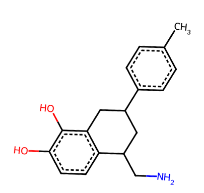 Cc1ccc(C2Cc3c(ccc(O)c3O)C(CN)C2)cc1